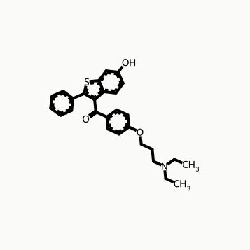 CCN(CC)CCCOc1ccc(C(=O)c2c(-c3ccccc3)sc3cc(O)ccc23)cc1